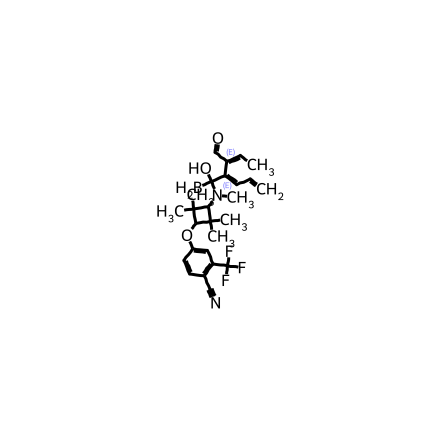 BC(O)(C(=C/C=C)/C(C=O)=C\C)N(C)C1C(C)(C)C(Oc2ccc(C#N)c(C(F)(F)F)c2)C1(C)C